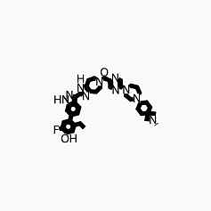 CCc1cc(O)c(F)cc1-c1ccc2c(-c3nc4c([nH]3)CCN(C(=O)c3cnc(N5CCCN(C6CCC7(CC6)CN(C)C7)CC5)cn3)CC4)n[nH]c2c1